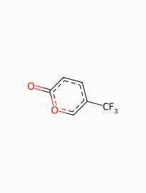 O=c1ccc(C(F)(F)F)co1